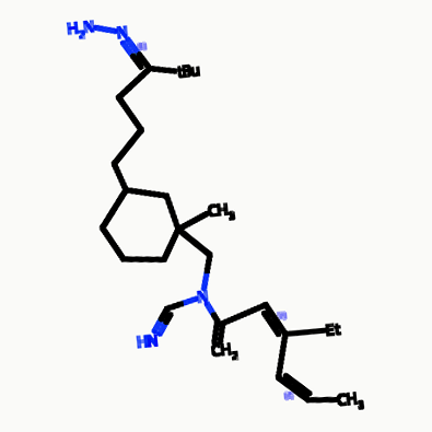 C=C(/C=C(\C=C/C)CC)N(C=N)CC1(C)CCCC(CCC/C(=N\N)C(C)(C)C)C1